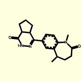 CC1CCC(=O)N(C)c2ccc(C3=NNC(=O)C4CCCC34)cc21